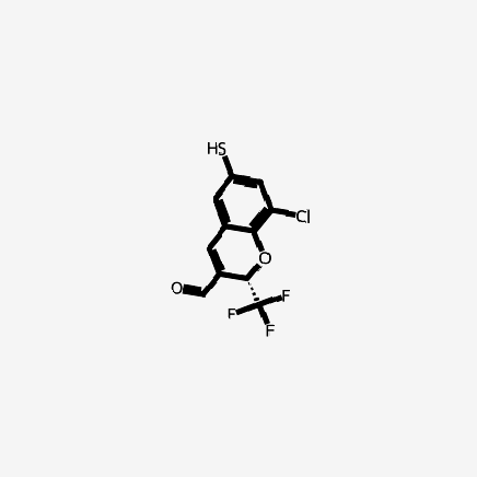 O=CC1=Cc2cc(S)cc(Cl)c2O[C@@H]1C(F)(F)F